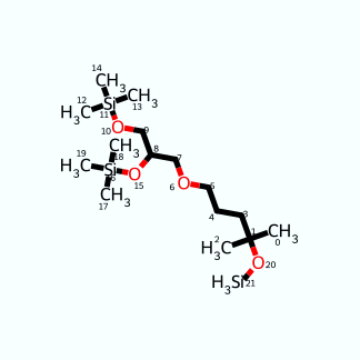 CC(C)(CCCOCC(CO[Si](C)(C)C)O[Si](C)(C)C)O[SiH3]